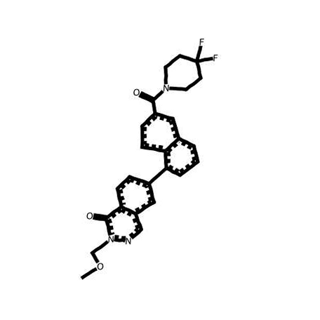 COCn1ncc2cc(-c3cccc4cc(C(=O)N5CCC(F)(F)CC5)ccc34)ccc2c1=O